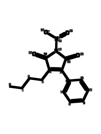 CCCCC1=C(c2ccccc2)C(=O)N([N+](=O)[O-])C1=O